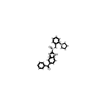 O=C(c1ccccc1)c1ccc2[nH]c([S+]([O-])Cc3ccccc3N3CCCC3)nc2c1